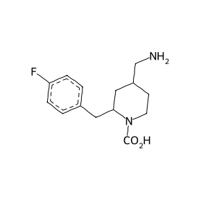 NCC1CCN(C(=O)O)C(Cc2ccc(F)cc2)C1